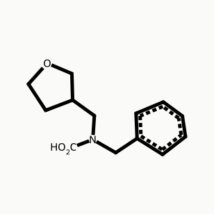 O=C(O)N(Cc1ccccc1)CC1CCOC1